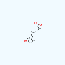 CC(C=CC1=C(C)CCC(O)C1(C)C)=CC=CC(C)=CC(=O)O